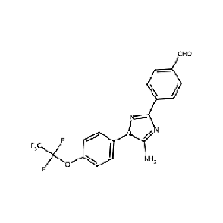 Nc1nc(-c2ccc(C=O)cc2)nn1-c1ccc(OC(F)(F)C(F)(F)F)cc1